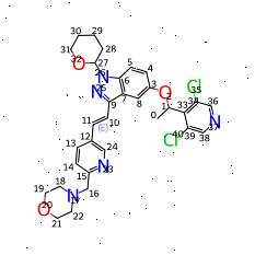 CC(Oc1ccc2c(c1)c(/C=C/c1ccc(CN3CCOCC3)nc1)nn2C1CCCCO1)c1c(Cl)cncc1Cl